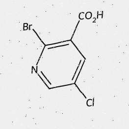 O=C(O)c1cc(Cl)cnc1Br